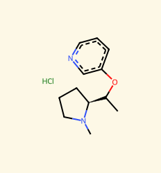 CC(Oc1cccnc1)[C@@H]1CCCN1C.Cl